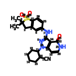 CC1(C)Cc2cc(Nc3nn(C4CCCCC4C#N)c4cc[nH]c(=O)c34)ccc2S1(=O)=O